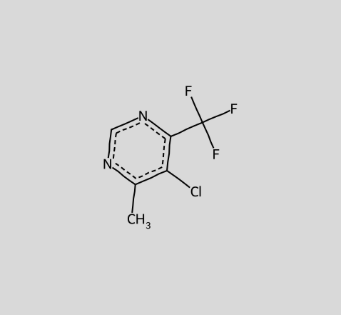 Cc1ncnc(C(F)(F)F)c1Cl